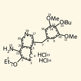 CCOc1ccc2c(Cc3cc(OC)c(OCC(C)C)c(OC)c3)cncc2c1N.Cl.Cl